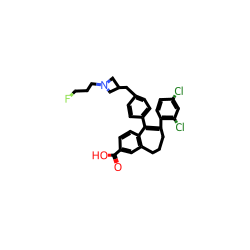 O=C(O)c1ccc2c(c1)CCCC(c1ccc(Cl)cc1Cl)=C2c1ccc(CC2CN(CCCF)C2)cc1